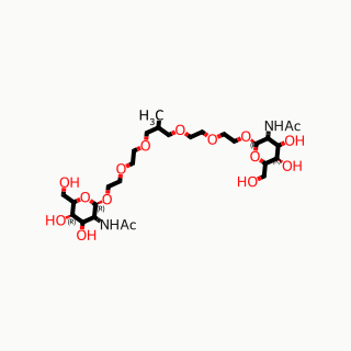 CC(=O)NC1C(O)[C@@H](O)C(CO)O[C@H]1OCCOCCOCC(C)COCCOCCO[C@@H]1OC(CO)[C@H](O)C(O)C1NC(C)=O